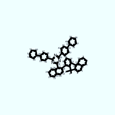 CC1(C)c2ccc3ccccc3c2-c2cccc(-c3ccc4ccccc4c3-c3nc(-c4ccc(-c5ccccc5)cc4)nc(-c4ccc(-c5ccccc5)cc4)n3)c21